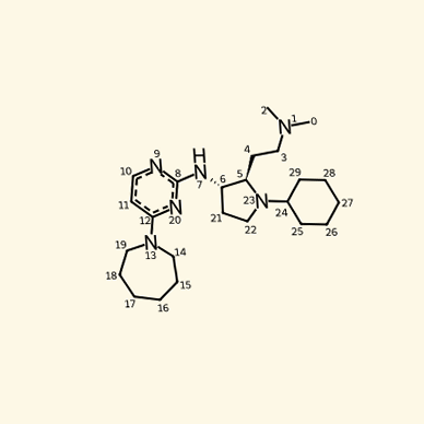 CN(C)CC[C@@H]1[C@@H](Nc2nccc(N3CCCCCC3)n2)CCN1C1CCCCC1